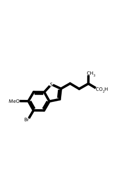 COc1cc2sc(CCC(C)C(=O)O)cc2cc1Br